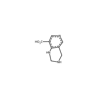 O=C(O)c1cncc2c1NCNC2